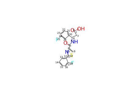 O=C(O)CC(NC(=O)c1csc(-c2ccccc2F)n1)c1cccc(F)c1